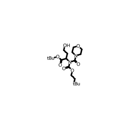 CC(C)(C)CCOC(=O)N(C(=O)N1CCOCC1)C(CCO)C(=O)OC(C)(C)C